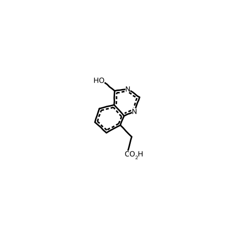 O=C(O)Cc1cccc2c(O)ncnc12